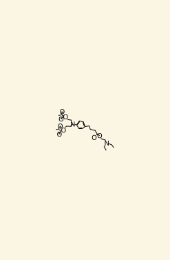 CCN(CC)CCOC(=O)CCCc1ccc(N(CCOS(C)(=O)=O)CCOS(C)(=O)=O)cc1